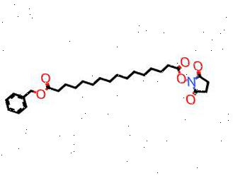 O=C(CCCCCCCCCCCCCCC(=O)ON1C(=O)CCC1=O)OCc1ccccc1